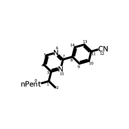 CCCCCC(C)c1ccnc(-c2ccc(C#N)cc2)n1